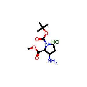 COC(=O)[C@@H]1[C@H](N)CCN1C(=O)OC(C)(C)C.Cl